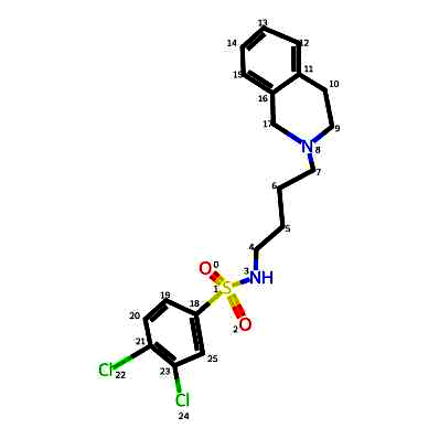 O=S(=O)(NCCCCN1CCc2ccccc2C1)c1ccc(Cl)c(Cl)c1